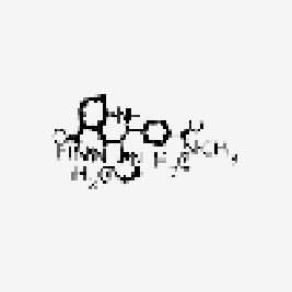 CN(C)C(=O)c1ccc(C2Nc3cccc4c(=O)[nH]nc(c34)C2c2nccn2C)cc1